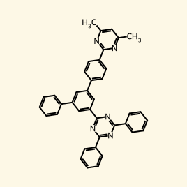 Cc1cc(C)nc(-c2ccc(-c3cc(-c4ccccc4)cc(-c4nc(-c5ccccc5)nc(-c5ccccc5)n4)c3)cc2)n1